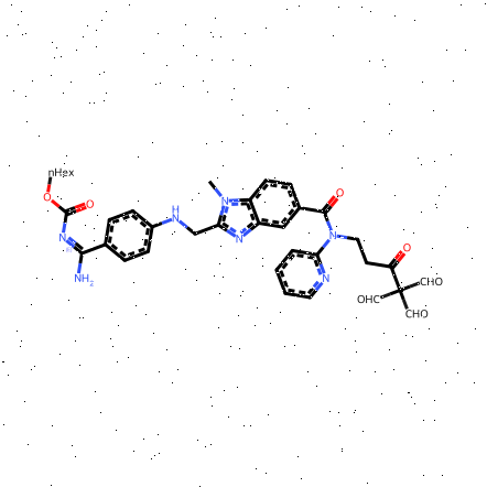 CCCCCCOC(=O)/N=C(/N)c1ccc(NCc2nc3cc(C(=O)N(CCC(=O)C(C=O)(C=O)C=O)c4ccccn4)ccc3n2C)cc1